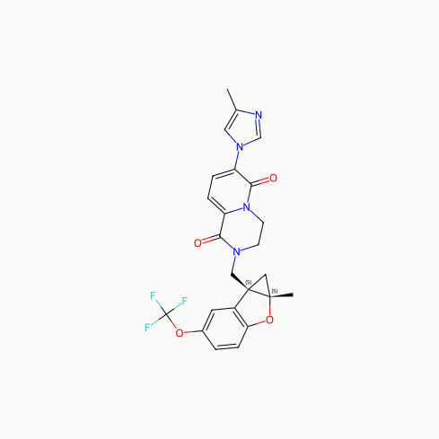 Cc1cn(-c2ccc3n(c2=O)CCN(C[C@@]24C[C@]2(C)Oc2ccc(OC(F)(F)F)cc24)C3=O)cn1